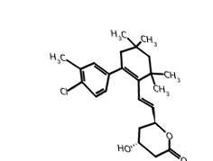 Cc1cc(C2=C(/C=C/[C@@H]3C[C@@H](O)CC(=O)O3)C(C)(C)CC(C)(C)C2)ccc1Cl